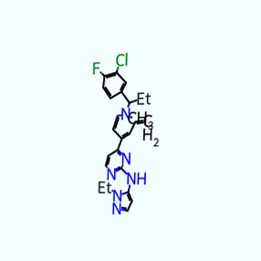 C=C/C=C(\C=C/N(C)C(CC)c1ccc(F)c(Cl)c1)c1ccnc(Nc2ccnn2CC)n1